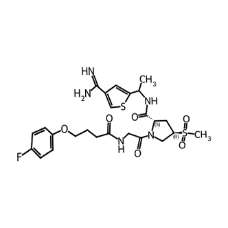 CC(NC(=O)[C@@H]1C[C@@H](S(C)(=O)=O)CN1C(=O)CNC(=O)CCCOc1ccc(F)cc1)c1cc(C(=N)N)cs1